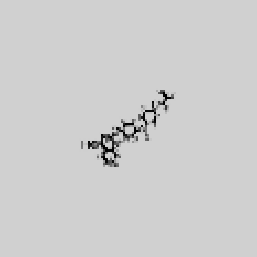 C=C(C)C(F)Oc1ccc(N(C)c2ccc(Oc3nc(O)c4ccncc4n3)cc2)cc1